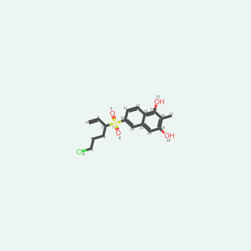 C=CC(CCCCl)S(=O)(=O)c1ccc2c(O)c(C)c(O)cc2c1